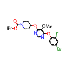 COc1c(Oc2ccc(Br)cc2F)ncnc1OC1CCN(C(=O)OC(C)C)CC1